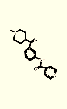 CN1CCC(C(=O)c2cccc(NC(=O)c3ccncc3)c2)CC1